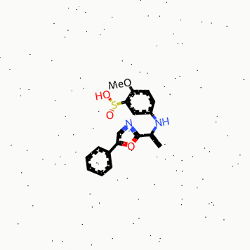 C=C(Nc1ccc(OC)c(S(=O)O)c1)c1ncc(-c2ccccc2)o1